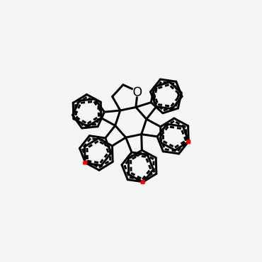 c1ccc(C23CCOC2(c2ccccc2)C(c2ccccc2)(c2ccccc2)C(c2ccccc2)(c2ccccc2)C(c2ccccc2)(c2ccccc2)C3(c2ccccc2)c2ccccc2)cc1